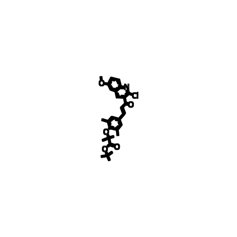 COc1ccc2nc(Cl)c(C(=O)/C=C/c3cc(C)c(OC(C)(C)C(=O)OC(C)(C)C)c(C)c3)cc2c1